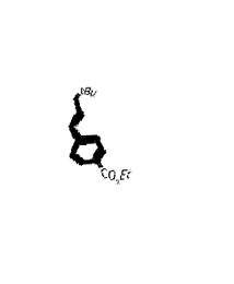 CCOC(=O)c1ccc(/C=C/CC(C)(C)C)cc1